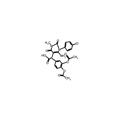 CC(=O)Oc1ccc(N(C(=O)O)c2c(N)n(-c3ccc(Cl)cc3)c(=O)n(C)c2=O)cc1OC(C)=O